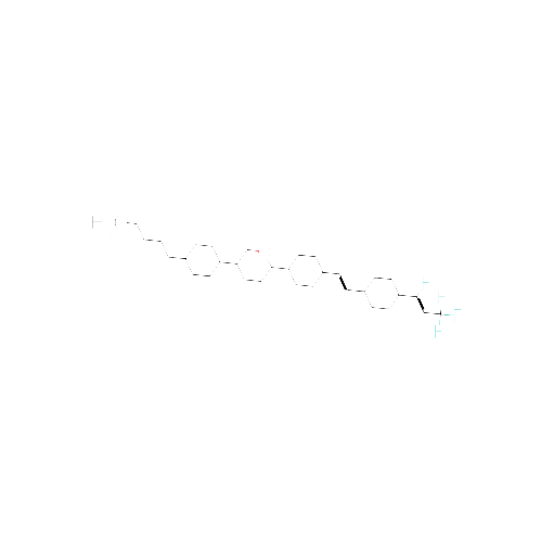 CCCCCC1CCC(C2CCC(C3CCC(/C=C/C4CCC(/C(F)=C/C(F)(F)F)CC4)CC3)OC2)CC1